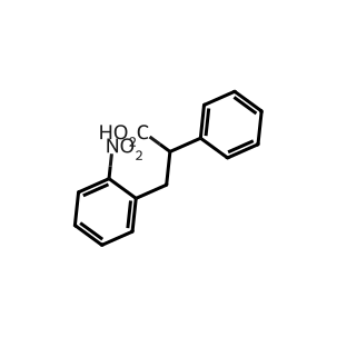 O=C(O)C(Cc1ccccc1[N+](=O)[O-])c1ccccc1